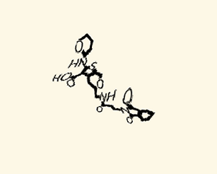 O=C(CCN1C(=O)c2ccccc2C1=O)NCC1Cc2c(sc(NC3CCCCO3)c2C(=O)O)CO1